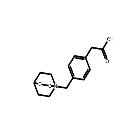 O=C(O)Cc1ccc(C[N+]23CCC(CC2)CC3)cc1